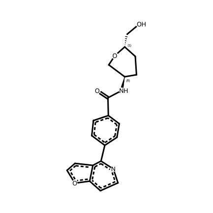 O=C(N[C@@H]1CC[C@@H](CO)OC1)c1ccc(-c2nccc3occc23)cc1